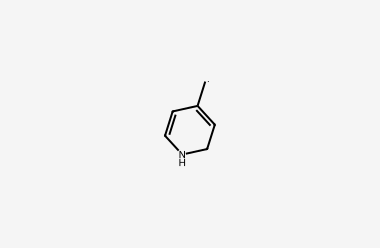 [CH2]C1=CCNC=C1